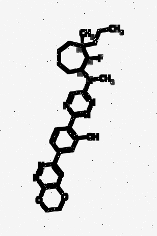 CCC[C@]1(C)CCCC[C@H](N(C)c2cnc(-c3ccc(-c4cc5c(nn4)OCCO5)cc3O)nn2)[C@@H]1F